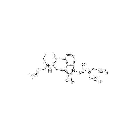 CCCN1CCC=C2c3cccc4c3c(c(C)n4NC(=O)N(CC)CC)C[C@H]21